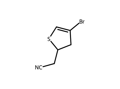 N#CCC1CC(Br)=CS1